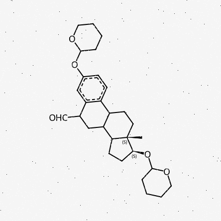 C[C@]12CCC3c4ccc(OC5CCCCO5)cc4C(C=O)CC3C1CC[C@@H]2OC1CCCCO1